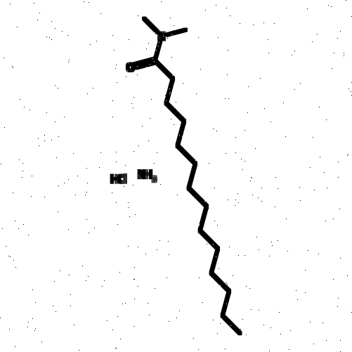 CCCCCCCCCCCCCC(=O)N(C)C.Cl.N